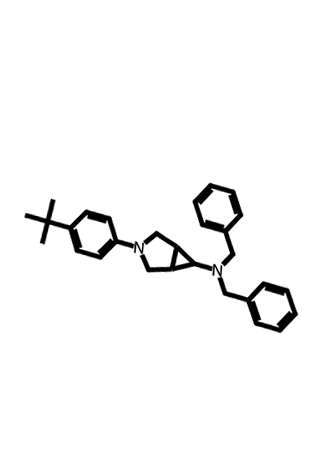 CC(C)(C)c1ccc(N2CC3C(C2)C3N(Cc2ccccc2)Cc2ccccc2)cc1